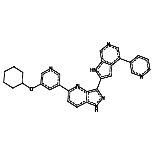 c1cncc(-c2cncc3[nH]c(-c4n[nH]c5ccc(-c6cncc(OC7CCCCC7)c6)nc45)cc23)c1